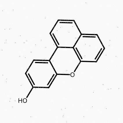 Oc1ccc2c(c1)Oc1cccc3cccc-2c13